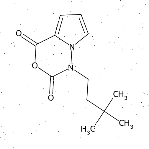 CC(C)(C)CCn1c(=O)oc(=O)c2cccn21